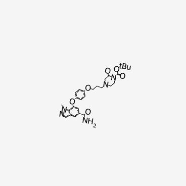 Cn1ncc2cc(C(N)=O)cc(Oc3ccc(OCCCN4CCN(C(=O)OC(C)(C)C)C(=O)C4)cc3)c21